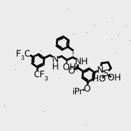 CC(C)Oc1cc(C(=O)N[C@@H](Cc2ccccc2)[C@@H](O)CNCc2cc(C(F)(F)F)cc(C(F)(F)F)c2)cc(N2CCCS2(O)O)c1